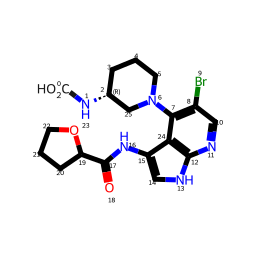 O=C(O)N[C@@H]1CCCN(c2c(Br)cnc3[nH]cc(NC(=O)C4CCCO4)c23)C1